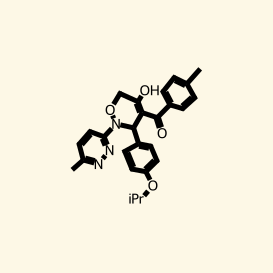 Cc1ccc(C(=O)C2=C(O)CON(c3ccc(C)nn3)C2c2ccc(OC(C)C)cc2)cc1